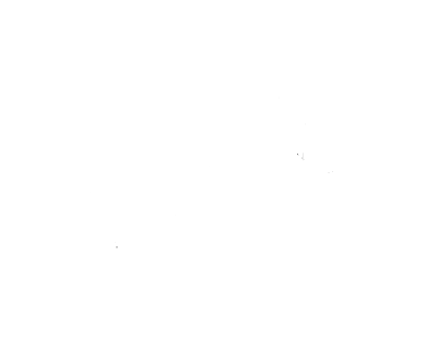 CCC(=O)C(Br)c1ccc(CCN2C(=O)c3ccccc3C2=O)cc1